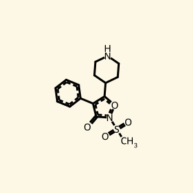 CS(=O)(=O)n1oc(C2CCNCC2)c(-c2ccccc2)c1=O